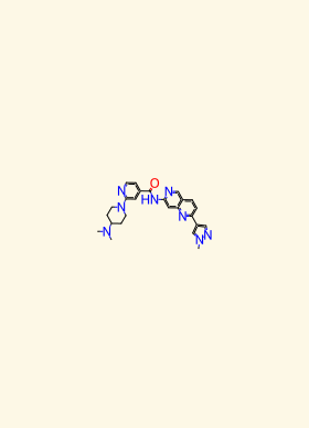 CN(C)C1CCN(c2cc(C(=O)Nc3cc4nc(-c5cnn(C)c5)ccc4cn3)ccn2)CC1